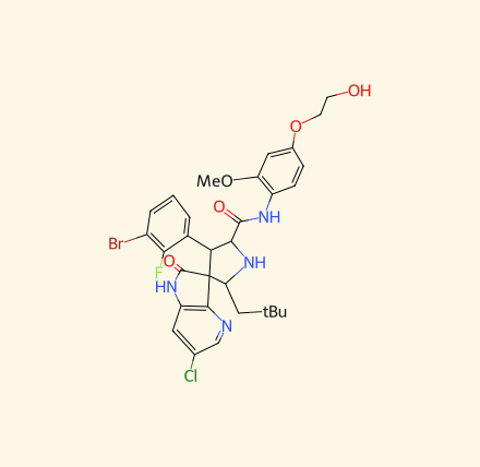 COc1cc(OCCO)ccc1NC(=O)C1NC(CC(C)(C)C)C2(C(=O)Nc3cc(Cl)cnc32)C1c1cccc(Br)c1F